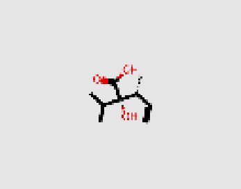 C=C[C@@H](C)[C@](O)(C(=O)O)C(C)C